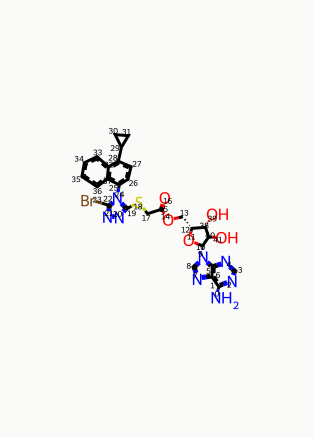 Nc1ncnc2c1ncn2[C@@H]1O[C@H](COC(=O)CSc2nnc(Br)n2-c2ccc(C3CC3)c3ccccc23)[C@H](O)C1O